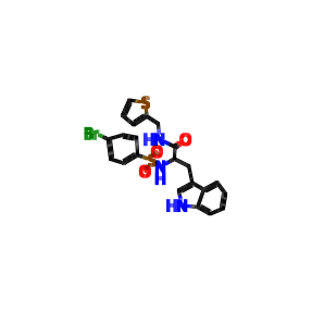 O=C(NCc1cccs1)C(Cc1c[nH]c2ccccc12)NS(=O)(=O)c1ccc(Br)cc1